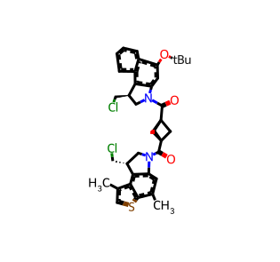 Cc1cc2c(c3c(C)csc13)[C@H](CCl)CN2C(=O)C12CC(C(=O)N3C[C@@H](CCl)c4c3cc(OC(C)(C)C)c3ccccc43)(C1)C2